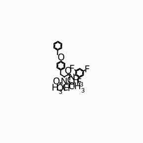 CC(C)(C)N(C(=O)O)C(Cc1ccc(OCc2ccccc2)cc1)C(=O)Nc1c(F)cc(F)cc1F